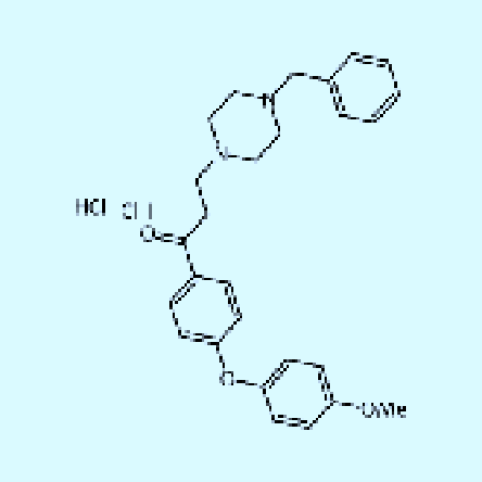 COc1ccc(Oc2ccc(C(=O)CCN3CCN(Cc4ccccc4)CC3)cc2)cc1.Cl.Cl